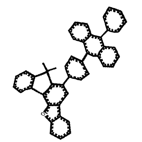 CC1(C)c2ccccc2-c2c1c(-c1ccc(-c3c4ccccc4c(-c4ccccc4)c4ccccc34)cc1)cc1c2oc2ccccc21